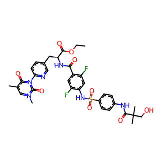 CCOC(=O)[C@H](Cc1ccc(-n2c(=O)c(C)cn(C)c2=O)nc1)NC(=O)c1cc(F)c(NS(=O)(=O)c2ccc(NC(=O)C(C)(C)CO)cc2)cc1F